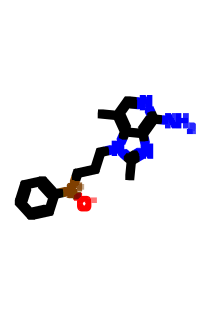 Cc1cnc(N)c2nc(C)n(CCC[S+]([O-])c3ccccc3)c12